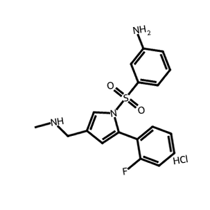 CNCc1cc(-c2ccccc2F)n(S(=O)(=O)c2cccc(N)c2)c1.Cl